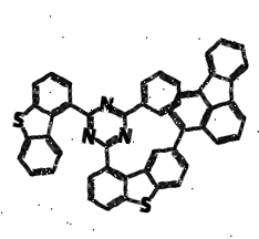 c1ccc(-c2nc(-c3cccc4sc5ccccc5c34)nc(-c3cccc4sc5ccc(-c6ccc7c8c(cccc68)-c6ccccc6-7)cc5c34)n2)cc1